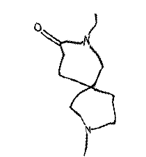 CN1CCC2(CC(=O)N(C)C2)C1